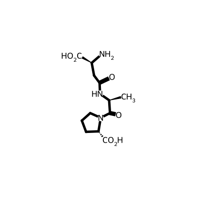 C[C@H](NC(=O)C[C@H](N)C(=O)O)C(=O)N1CCC[C@H]1C(=O)O